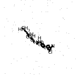 CNCCCCNC(=O)NCCOCCN1CC[C@H](NS(=O)(=O)c2ccc(O[C@@H]3CCc4c(C#N)cc(Cl)cc43)cc2)C1